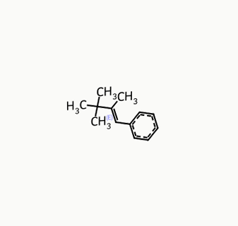 C/C(=C\c1ccccc1)C(C)(C)C